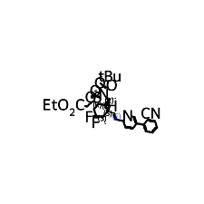 CCOC(=O)CC[C@@]12CC(F)(F)[C@@H](C)[C@H](/C=C/c3ccc(-c4ccccc4C#N)cn3)[C@@H]1[C@@H](C)N(C(=O)OC(C)(C)C)S2(=O)=O